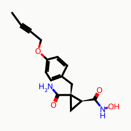 CC#CCOc1ccc(C[C@]2(C(N)=O)C[C@@H]2C(=O)NO)cc1